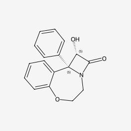 O=C1[C@@H](O)[C@]2(c3ccccc3)c3ccccc3OCCN12